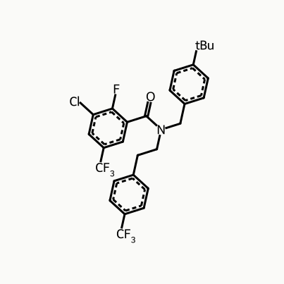 CC(C)(C)c1ccc(CN(CCc2ccc(C(F)(F)F)cc2)C(=O)c2cc(C(F)(F)F)cc(Cl)c2F)cc1